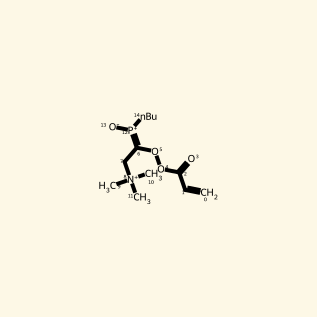 C=CC(=O)OO/C(C[N+](C)(C)C)=[P+](/[O-])CCCC